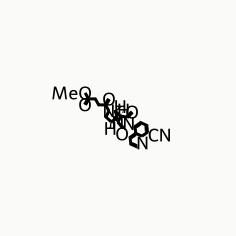 COC(=O)CCC(=O)N1C[C@@H]2C[C@H]1[C@H]1C(=O)N(c3ccc(C#N)c4ncccc34)C(=O)N21